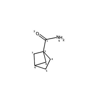 NC(=O)C12CCC(C1)C2